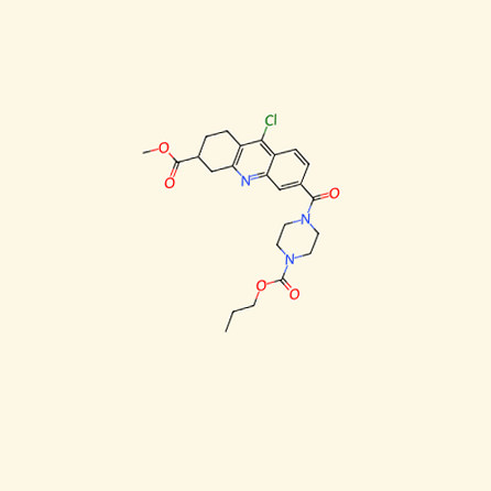 CCCOC(=O)N1CCN(C(=O)c2ccc3c(Cl)c4c(nc3c2)CC(C(=O)OC)CC4)CC1